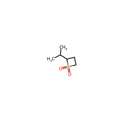 CC(C)C1CCS1(=O)=O